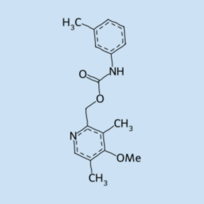 COc1c(C)cnc(COC(=O)Nc2cccc(C)c2)c1C